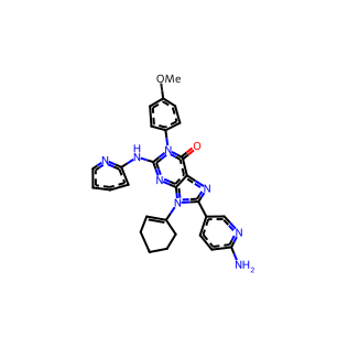 COc1ccc(-n2c(Nc3ccccn3)nc3c(nc(-c4ccc(N)nc4)n3C3=CCCCC3)c2=O)cc1